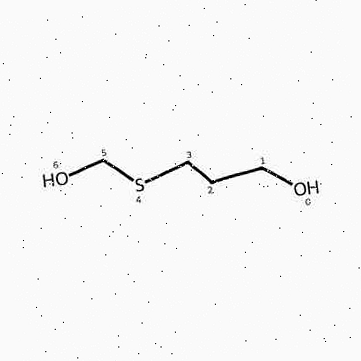 OCCCSCO